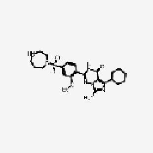 CCOc1cc(S(=O)(=O)N2CCCNCC2)ccc1-c1nn2c(C)nc(C3CCCCC3)c2c(=O)[nH]1